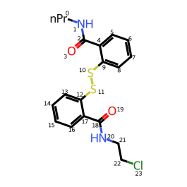 CCCNC(=O)c1ccccc1SSc1ccccc1C(=O)NCCCl